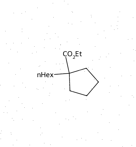 CCCCCCC1(C(=O)OCC)CCCC1